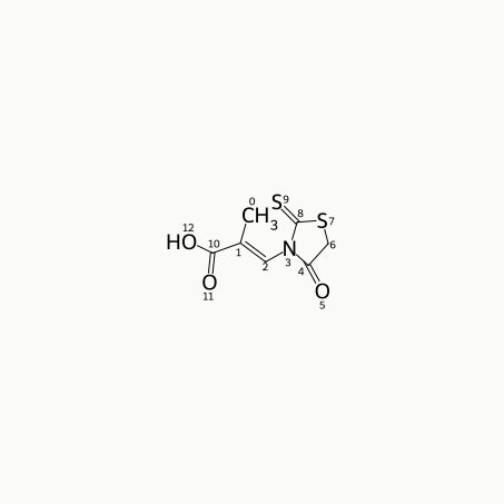 CC(=CN1C(=O)CSC1=S)C(=O)O